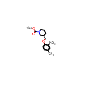 CC(C)(C)OC(=O)N1CCC[C@@H](COc2ccc(C(F)(F)F)cc2[N+](=O)[O-])C1